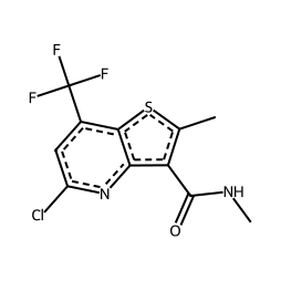 CNC(=O)c1c(C)sc2c(C(F)(F)F)cc(Cl)nc12